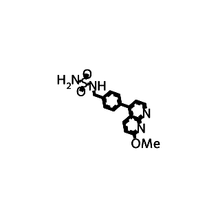 COc1ccc2c(-c3ccc(CNS(N)(=O)=O)cc3)ccnc2n1